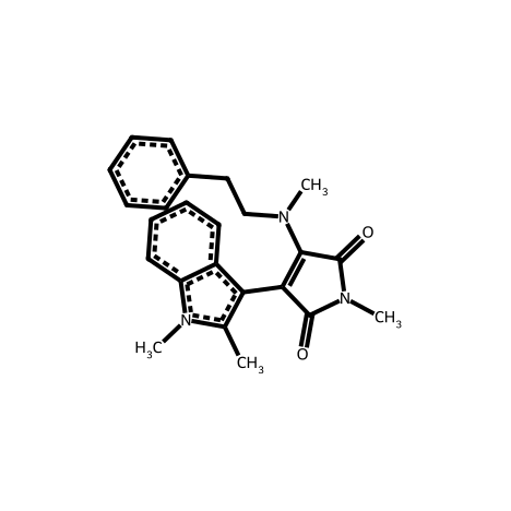 Cc1c(C2=C(N(C)CCc3ccccc3)C(=O)N(C)C2=O)c2ccccc2n1C